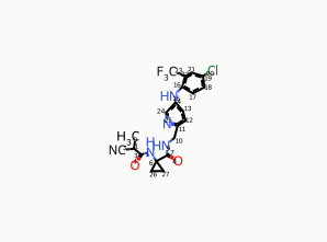 CC(C#N)C(=O)NC1(C(=O)NCc2ccc(Nc3ccc(Cl)cc3C(F)(F)F)cn2)CC1